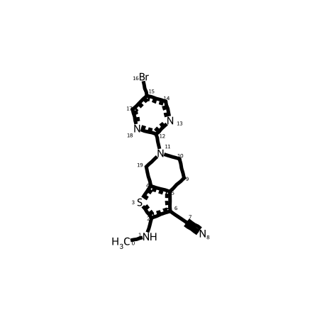 CNc1sc2c(c1C#N)CCN(c1ncc(Br)cn1)C2